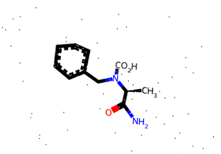 C[C@@H](C(N)=O)N(Cc1ccccc1)C(=O)O